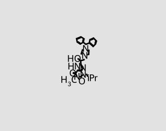 CC(C)Cn1c(=O)n(C)c(=O)c2[nH]c(C(O)CN3CCN(C(c4ccccc4)c4ccccc4)CC3)nc21